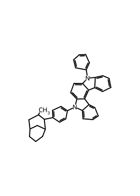 CC1CC2CCCC(C2)C1c1ccc(-n2c3ccccc3c3c4c5ccccc5n(-c5ccccc5)c4ccc32)cc1